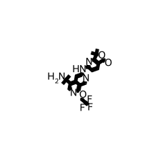 CC(C)(N)c1cnc(OCC(F)(F)F)c2cnc(Nc3ccc4c(n3)C(C)(C)OC4=O)cc12